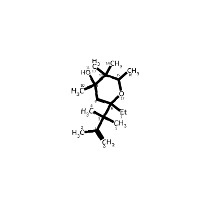 C=C(C)C(C)(C)C1(CC)CC(C)(O)C(C)(C)C(C)O1